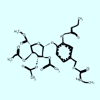 CCCC(=O)Nc1cc(COC(=O)NC)ccc1O[C@H]1O[C@@H](C(=O)OC)[C@H](OC(C)=O)[C@@H](OC(C)=O)[C@@H]1OC(C)=O